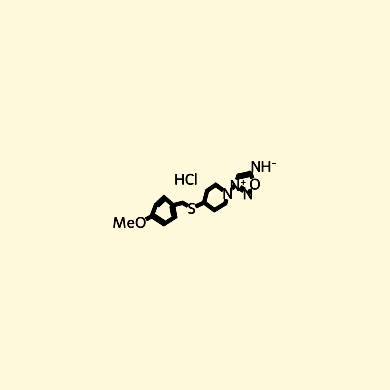 COc1ccc(CSC2CCN([n+]3cc([NH-])on3)CC2)cc1.Cl